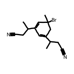 CC(CC#N)C1=CC(C)(Br)CC(C(C)CC#N)=C1